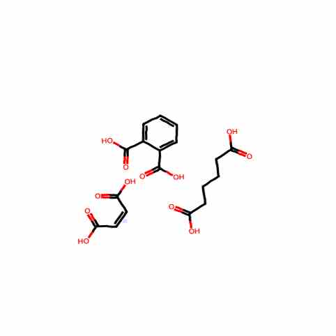 O=C(O)/C=C\C(=O)O.O=C(O)CCCCC(=O)O.O=C(O)c1ccccc1C(=O)O